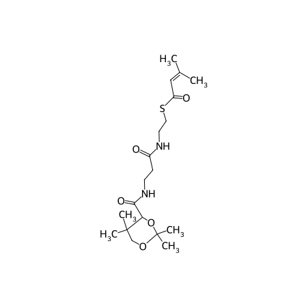 CC(C)=CC(=O)SCCNC(=O)CCNC(=O)C1OC(C)(C)OCC1(C)C